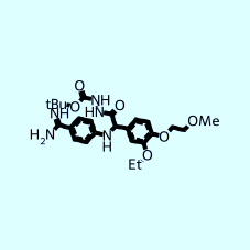 CCOc1cc(C(Nc2ccc(C(=N)N)cc2)C(=O)NNC(=O)OC(C)(C)C)ccc1OCCOC